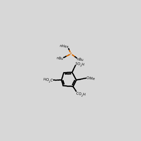 CCCCCCP(CCCC)CCCC.COc1c(C(=O)O)cc(C(=O)O)cc1S(=O)(=O)O